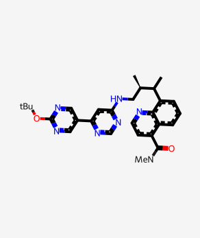 CNC(=O)c1ccnc2c(C(C)[C@H](C)CNc3cc(-c4cnc(OC(C)(C)C)nc4)ncn3)cccc12